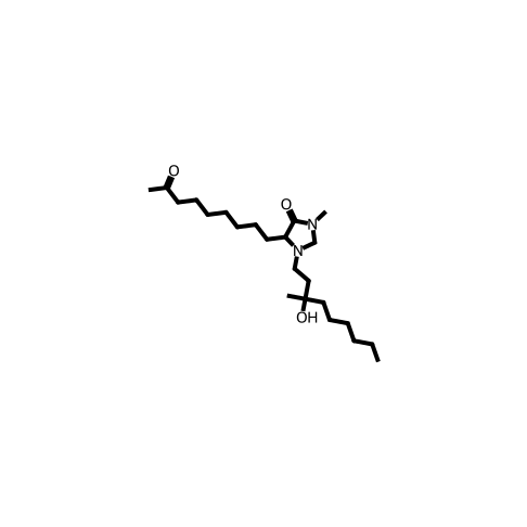 CCCCCCC(C)(O)CCN1CN(C)C(=O)C1CCCCCCCC(C)=O